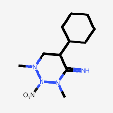 CN1CC(C2CCCCC2)C(=N)N(C)N1[N+](=O)[O-]